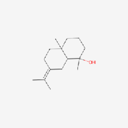 CC(C)=C1CCC2(C)CCCC(C)(O)C2C1